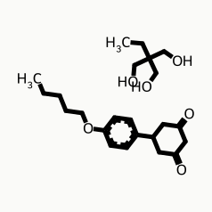 CCC(CO)(CO)CO.CCCCCOc1ccc(C2CC(=O)CC(=O)C2)cc1